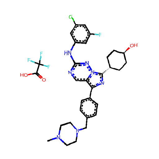 CN1CCN(Cc2ccc(-c3nc([C@H]4CC[C@H](O)CC4)n4nc(Nc5cc(F)cc(Cl)c5)ncc34)cc2)CC1.O=C(O)C(F)(F)F